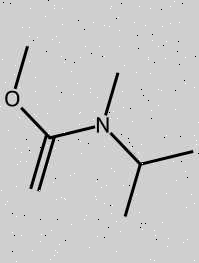 C=C(OC)N(C)C(C)C